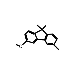 COc1ccc2c(c1)-c1cc(C)ccc1C2(C)C